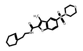 Cc1c(C(=O)NCCC2=CCCCC2)oc2ccc(S(=O)(=O)N3CCOCC3)cc12